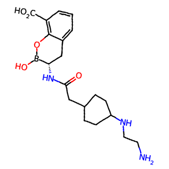 NCCNC1CCC(CC(=O)N[C@H]2Cc3cccc(C(=O)O)c3OB2O)CC1